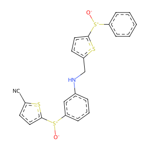 N#Cc1ccc([S+]([O-])c2cccc(NCc3ccc([S+]([O-])c4ccccc4)s3)c2)s1